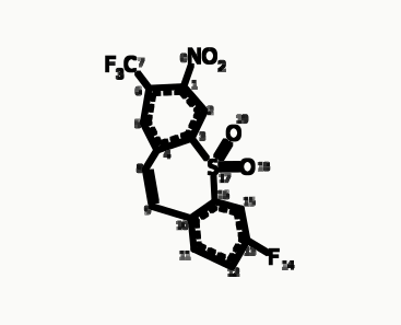 O=[N+]([O-])c1cc2c(cc1C(F)(F)F)C=Cc1ccc(F)cc1S2(=O)=O